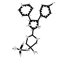 CC1(NS(C)(=O)=O)COC(c2nc(-c3ccncc3)c(-c3ccc(F)cc3)[nH]2)OC1